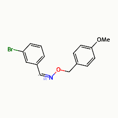 COc1ccc(CO/N=[C]\c2cccc(Br)c2)cc1